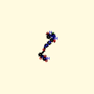 COc1cc(N2CCC(N3CCN(CCOCC#Cc4cccc5c4CN(C4CCC(=O)NC4=O)C5=O)CC3)CC2)ccc1Nc1ncc(Cl)c(Nc2ccccc2P(C)(C)=O)n1